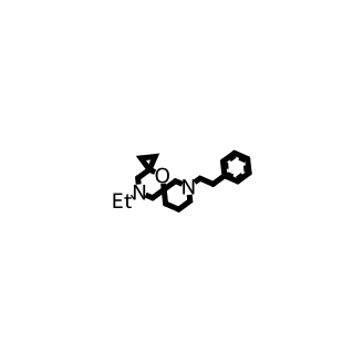 CCN1CC2(CC2)OC2(CCCN(CCc3ccccc3)C2)C1